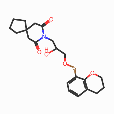 O=C1CC2(CCCC2)CC(=O)N1CC(O)COSc1cccc2c1OCCC2